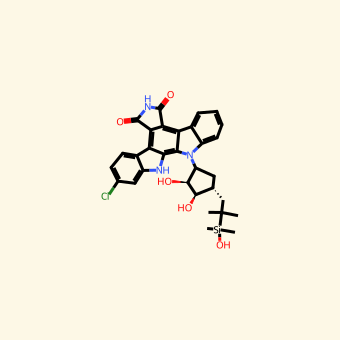 CC(C)(C[C@H]1CC(n2c3ccccc3c3c4c(c5c6ccc(Cl)cc6[nH]c5c32)C(=O)NC4=O)[C@H](O)[C@@H]1O)[Si](C)(C)O